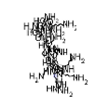 N=C(N)NCC/C=C(/NC(=O)[C@H](CCCCN)NC(=O)[C@H](Cc1cnc[nH]1)NC(=O)[C@@H]1CCCN1C(=O)[C@@H](CCCN)NC(=O)CNC(=O)[C@@H](NC(=O)[C@@H](NC(=O)[C@@H](N)CCCCN)[C@@H](O)CN)[C@@H](O)CN)C(=O)N[C@@H](CCCCN)C(=O)NCCCCN